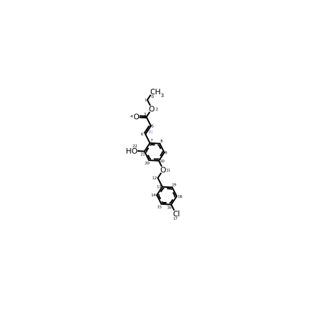 CCOC(=O)/C=C/c1ccc(OCc2ccc(Cl)cc2)cc1O